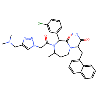 CC1CCN(C(Cc2cccc3ccccc23)C(N)=O)C(=O)C(c2cccc(Cl)c2)N1C(=O)Cn1cc(CN(C)C)nn1